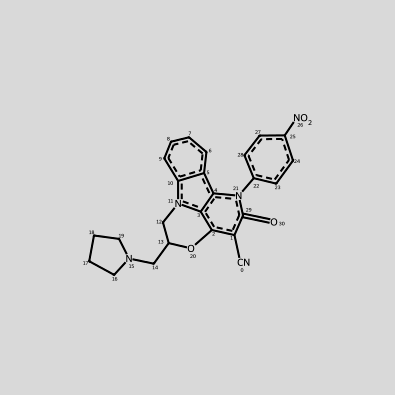 N#Cc1c2c3c(c4ccccc4n3CC(CN3CCCC3)O2)n(-c2ccc([N+](=O)[O-])cc2)c1=O